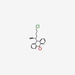 C#C[C@@H](CCCCCl)C1c2ccccc2C(=O)c2ccccc21